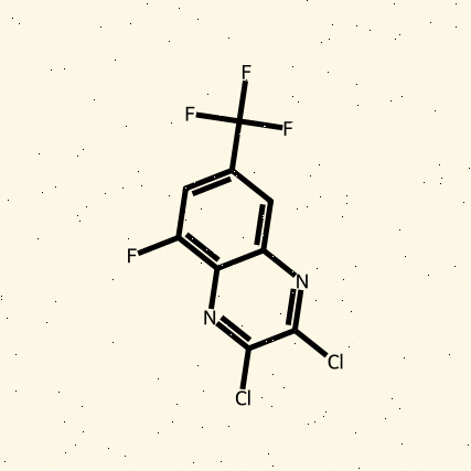 Fc1cc(C(F)(F)F)cc2nc(Cl)c(Cl)nc12